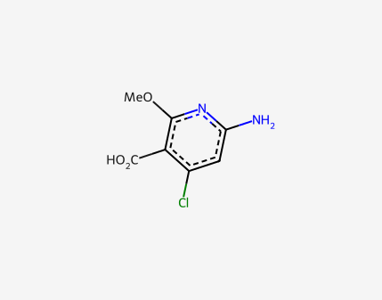 COc1nc(N)cc(Cl)c1C(=O)O